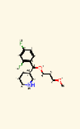 COCCCOC(c1ccc(F)cc1F)[C@@H]1CCCNC1